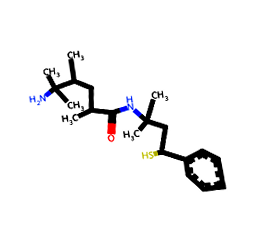 CC(CC(C)C(C)(C)N)C(=O)NC(C)(C)CC(S)c1ccccc1